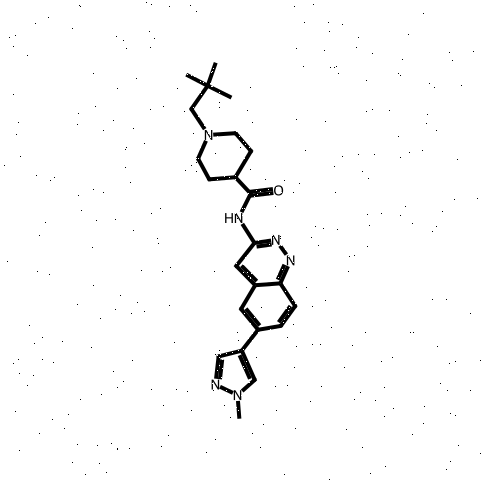 Cn1cc(-c2ccc3nnc(NC(=O)C4CCN(CC(C)(C)C)CC4)cc3c2)cn1